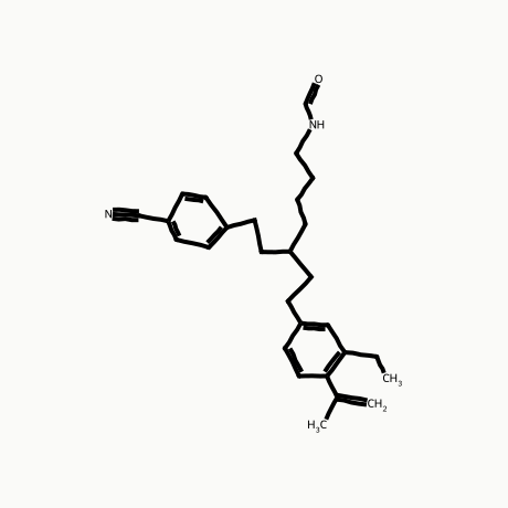 C=C(C)c1ccc(CCC(CCCCNC=O)CCc2ccc(C#N)cc2)cc1CC